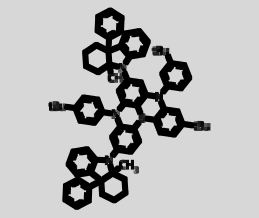 CC(C)(C)c1ccc(N2c3cc(N4c5ccccc5C5(c6ccccc6)CCCCC45C)ccc3B3c4ccc(C(C)(C)C)cc4N(c4cccc(C(C)(C)C)c4)c4cc(N5c6ccccc6C6(c7ccccc7)CCCCC56C)cc2c43)cc1